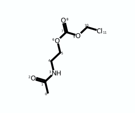 CC(=O)NCCOC(=O)OCCl